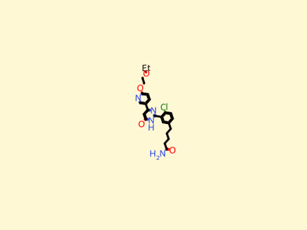 CCOCCOc1ccc(-c2cc(=O)[nH]c(-c3cc(CCCCC(N)=O)ccc3Cl)n2)cn1